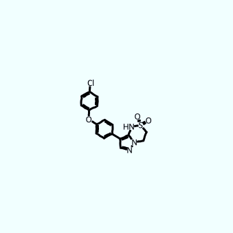 O=S1(=O)CCn2ncc(-c3ccc(Oc4ccc(Cl)cc4)cc3)c2N1